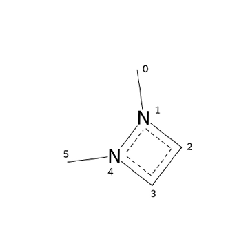 Cn1ccn1C